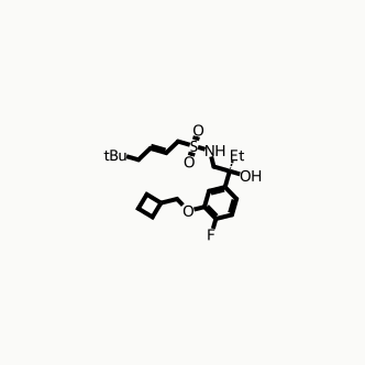 CC[C@@](O)(CNS(=O)(=O)C/C=C/CC(C)(C)C)c1ccc(F)c(OCC2CCC2)c1